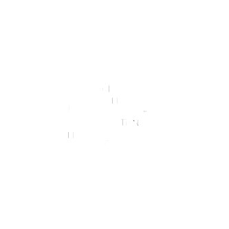 CC1=C(C)C(C)[C]([Ti+2][NH]c2ccccc2)=C1C.[Cl-].[Cl-]